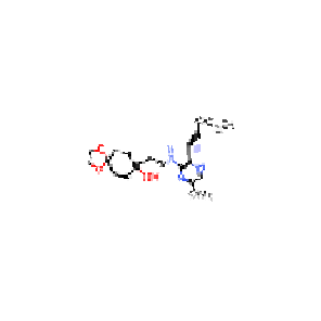 CCOC(=O)/C=C/c1ncc(OC)nc1NCCC1(O)CCC2(CC1)OCCO2